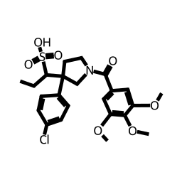 CCC(C1(c2ccc(Cl)cc2)CCN(C(=O)c2cc(OC)c(OC)c(OC)c2)C1)S(=O)(=O)O